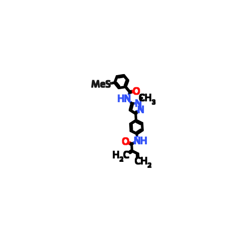 C=CC(=C)C(=O)Nc1ccc(-c2cc(NC(=O)c3cccc(SC)c3)n(C)n2)cc1